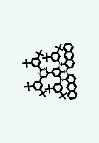 CC(C)(C)c1cc(-c2cc(-c3cc4c5c(c3)N(c3cc(C(C)(C)C)cc(C(C)(C)C)c3)c3c(ccc6cc7ccccc7cc36)B5c3ccc5cc6ccccc6cc5c3N4c3cc(C(C)(C)C)cc(C(C)(C)C)c3)nc(-c3cc(C(C)(C)C)cc(C(C)(C)C)c3)n2)cc(C(C)(C)C)c1